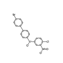 O=[N+]([O-])c1cc([S+]([O-])c2ccc(-c3ccc(Br)cc3)cc2)ccc1Cl